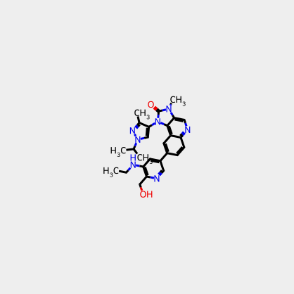 CCNc1cc(-c2ccc3ncc4c(c3c2)n(-c2cn(C(C)C)nc2C)c(=O)n4C)cnc1CO